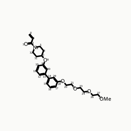 C=CC(=O)N1CCC(Oc2cccc(-c3cccc(OCCOCCOCCOC)c3)c2)CC1